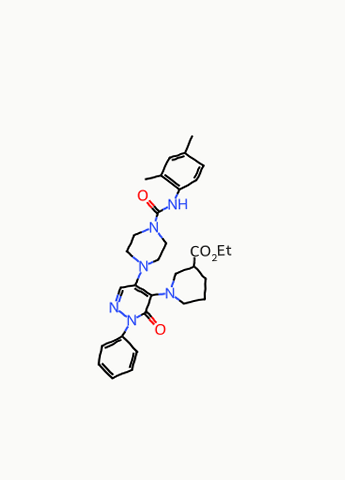 CCOC(=O)C1CCCN(c2c(N3CCN(C(=O)Nc4ccc(C)cc4C)CC3)cnn(-c3ccccc3)c2=O)C1